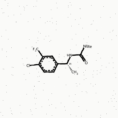 CNC(=O)N[C@H](C)c1ccc(Cl)c(C(F)(F)F)c1